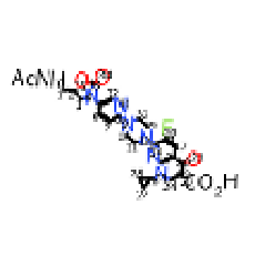 CC(=O)NCC1CN(c2ccc(N3CCN(c4nc5c(cc4F)c(=O)c(C(=O)O)cn5C4CC4)CC3)nc2)C(=O)O1